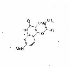 CC=C(CC)Oc1c(OC)c(=O)[nH]c2cc(NC)ccc12